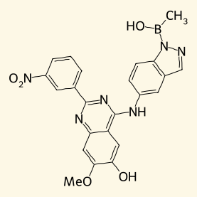 COc1cc2nc(-c3cccc([N+](=O)[O-])c3)nc(Nc3ccc4c(cnn4B(C)O)c3)c2cc1O